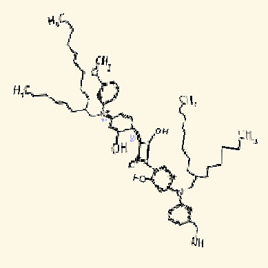 CCCCCCCCC(CCCCCC)CN(c1cccc(CO)c1)c1ccc(C2=C(O)/C(=C3C=C/C(=[N+](/CC(CCCCCC)CCCCCCCC)c4cccc(OC)c4)C=C\3O)C2=O)c(O)c1